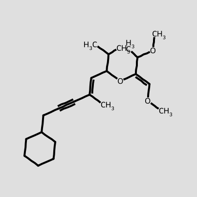 CO/C=C(\OC(/C=C(\C)C#CCC1CCCCC1)C(C)C)C(C)OC